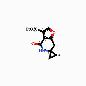 CCOC(=O)c1coc2c1C(=O)NC1(CC1)C2